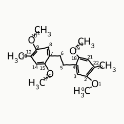 COc1cc(CCc2cc(OC)c(C)cc2OC)c(OC)cc1C